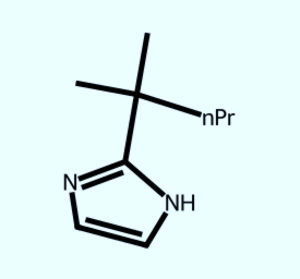 CCCC(C)(C)c1ncc[nH]1